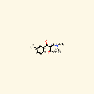 CCOC(=O)C(=O)/C(=C\N(C)C)C(=O)c1cccc(C(F)(F)F)c1